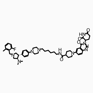 Cc1cccc(F)c1CN1C[C@H](c2ccc(N3CCN(CCCCCCNC(=O)C4CCN(c5ccc6nnn(C7CCC(=O)NC7=O)c(=O)c6c5)CC4)CC3)cc2)[C@@H](N(C)C)C1